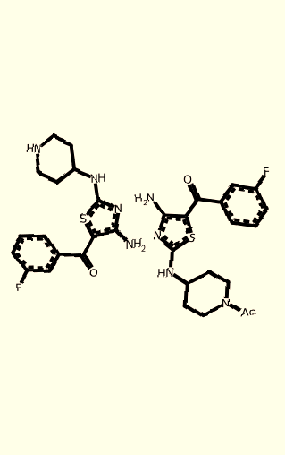 CC(=O)N1CCC(Nc2nc(N)c(C(=O)c3cccc(F)c3)s2)CC1.Nc1nc(NC2CCNCC2)sc1C(=O)c1cccc(F)c1